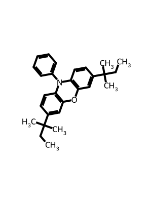 CCC(C)(C)c1ccc2c(c1)Oc1cc(C(C)(C)CC)ccc1N2c1ccccc1